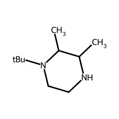 CC1NCCN(C(C)(C)C)C1C